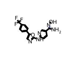 N/C(=N\O)c1ccc(Nc2ncc(-c3ccc(C(F)(F)F)cc3)o2)nc1